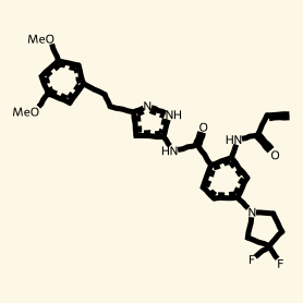 C=CC(=O)Nc1cc(N2CCC(F)(F)C2)ccc1C(=O)Nc1cc(CCc2cc(OC)cc(OC)c2)n[nH]1